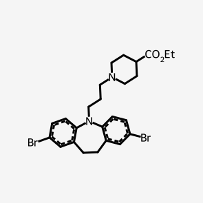 CCOC(=O)C1CCN(CCCN2c3ccc(Br)cc3CCc3cc(Br)ccc32)CC1